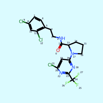 O=C(NCCc1ccc(Cl)cc1Cl)C1CCCN1c1cc(Cl)nc(C(F)(F)F)n1